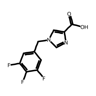 O=C(O)c1cn(Cc2cc(F)c(F)c(F)c2)cn1